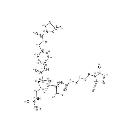 CC(C)[C@H](NC(=O)CCCCCN1C(=O)C=CC1=O)C(=O)N[C@@H](CCCNC(N)=O)C(=O)Nc1ccc(COC(=O)N2CC[C@@H](C)C2)cc1